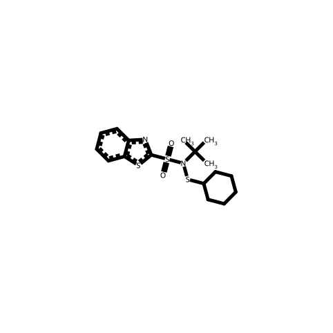 CC(C)(C)N(SC1CCCCC1)S(=O)(=O)c1nc2ccccc2s1